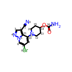 N#Cc1cnn2cc(Br)cc(N3CCC(OC(N)=O)CC3)c12